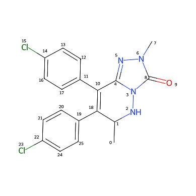 CC1Nn2c(nn(C)c2=O)C(c2ccc(Cl)cc2)=C1c1ccc(Cl)cc1